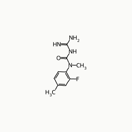 Cc1ccc(N(C)C(=O)NC(=N)N)c(F)c1